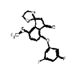 O=C1CC2(OCCO2)c2c(SC(F)(F)F)ccc(Oc3cc(F)cc(F)c3)c21